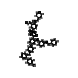 O=C(NS(=O)(=O)c1ccc(NCC2CCOCC2)c([N+](=O)[O-])c1)c1ccc(N2CCN(Cc3ccccc3-c3ccc(Cl)cc3)CC2)cc1Oc1cccc(OCc2ccccc2)c1